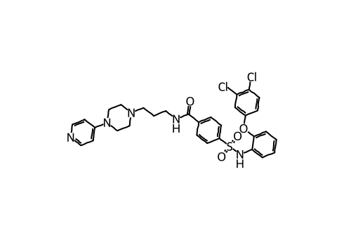 O=C(NCCCN1CCN(c2ccncc2)CC1)c1ccc(S(=O)(=O)Nc2ccccc2Oc2ccc(Cl)c(Cl)c2)cc1